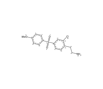 COc1ccc(S(=O)(=O)c2ccc(CCN)c(Cl)c2)cc1